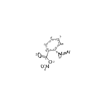 O=C(O[N+](=O)[O-])c1ccccc1.[NaH]